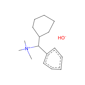 C[N+](C)(C)C(c1ccccc1)C1CCCCC1.[OH-]